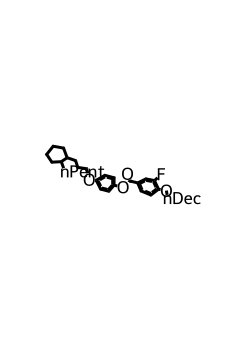 CCCCCCCCCCOc1ccc(C(=O)Oc2ccc(OCCCC3CCCCC3CCCCC)cc2)cc1F